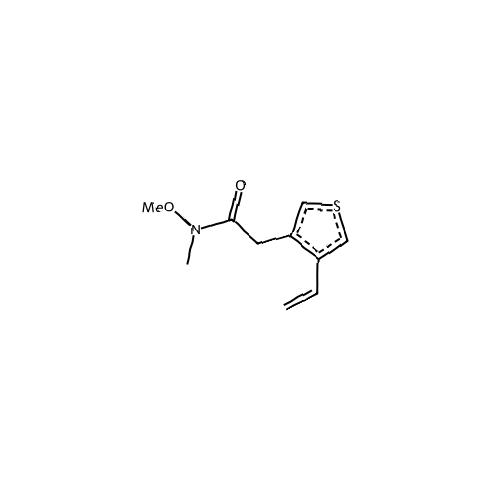 C=Cc1cscc1CC(=O)N(C)OC